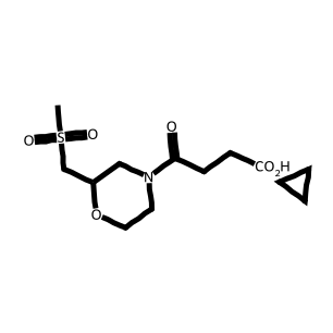 C1CC1.CS(=O)(=O)CC1CN(C(=O)CCC(=O)O)CCO1